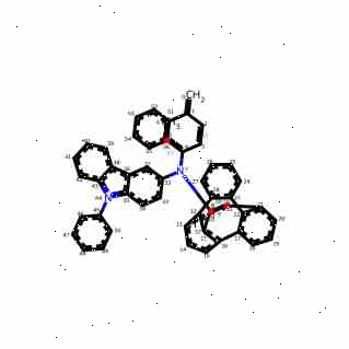 C=C(/C=C\C(=C/C)N(C1=C[C@@H]2c3c4cccc3-c3cccc(c3-c3ccccc3-4)C2C=C1)c1ccc2c(c1)c1ccccc1n2-c1ccccc1)c1ccccc1